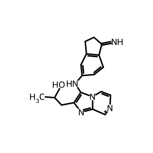 CC(O)Cc1nc2cnccn2c1Nc1ccc2c(c1)CCC2=N